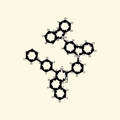 c1ccc(-c2ccc(-c3nc(-c4cccc(-n5c6ccccc6c6cc(-n7c8ccccc8c8ccccc87)ccc65)c4)nc4c3ccc3ccccc34)cc2)cc1